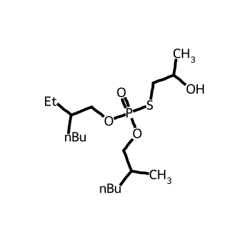 CCCCC(C)COP(=O)(OCC(CC)CCCC)SCC(C)O